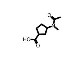 CC(=O)N(C)C1CCC(C(=O)O)C1